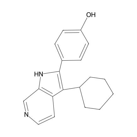 Oc1ccc(-c2[nH]c3cnccc3c2C2CCCCC2)cc1